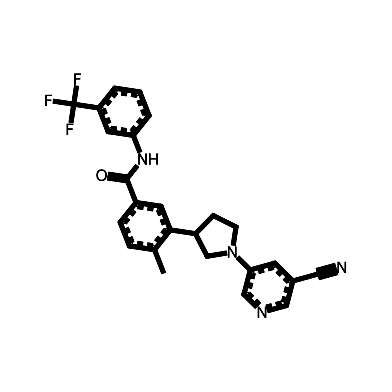 Cc1ccc(C(=O)Nc2cccc(C(F)(F)F)c2)cc1C1CCN(c2cncc(C#N)c2)C1